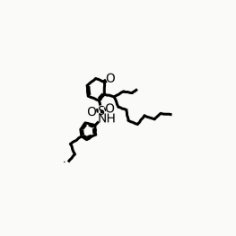 [CH2]CCc1ccc(NS(=O)(=O)C2=C(C(CCC)CCCCCCCC)C(=O)CC=C2)cc1